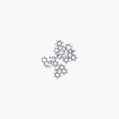 C/C=C1/CCC=C/C1=C\Nc1ccc(-c2ccc3ccccc3c2Nc2ccccc2)cc1C(C)C(N)/C=C(\C=C\N1C2=C(C=CCc3[nH]c4c(ccc5ccccc54)c32)C2c3ccccc3C3=C(C=CCC3)C21)c1ccccc1